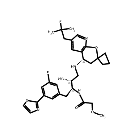 COCC(=O)N[C@@H](Cc1cc(F)cc(-c2nccs2)c1)[C@H](O)CN[C@H]1CC2(CCC2)Oc2ncc(CC(C)(C)F)cc21